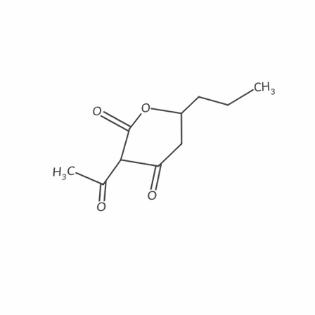 CCCC1CC(=O)C(C(C)=O)C(=O)O1